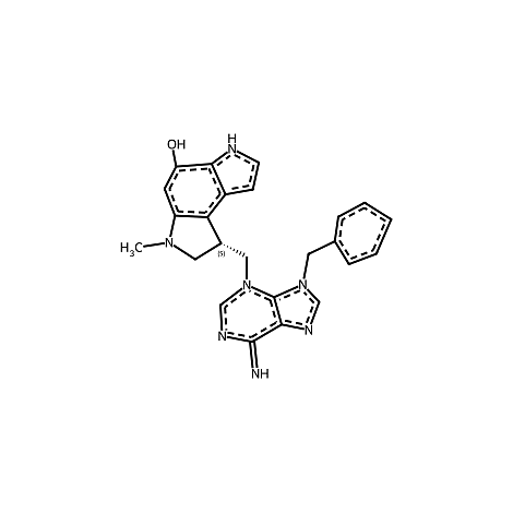 CN1C[C@@H](Cn2cnc(=N)c3ncn(Cc4ccccc4)c32)c2c1cc(O)c1[nH]ccc21